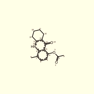 CC(=O)Oc1ccc(C)c2[nH]c3c(c(=O)c12)CCCC3